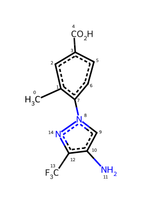 Cc1cc(C(=O)O)ccc1-n1cc(N)c(C(F)(F)F)n1